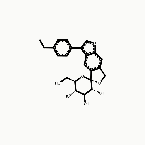 CCc1ccc(-c2csc3cc4c(cc23)[C@]2(OC4)O[C@H](CO)[C@@H](O)[C@H](O)[C@H]2O)cc1